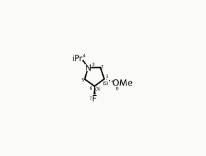 CO[C@H]1CN(C(C)C)C[C@@H]1F